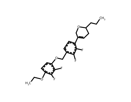 CCCC1CC=C(c2ccc(COc3ccc(OCC)c(F)c3F)c(F)c2F)CO1